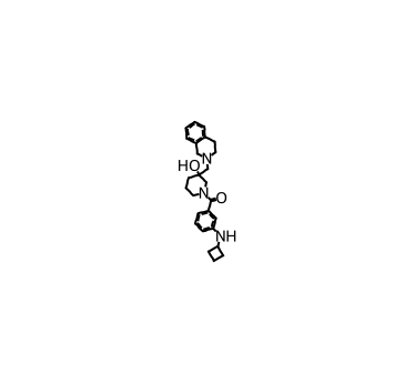 O=C(c1cccc(NC2CCC2)c1)N1CCCC(O)(CN2CCc3ccccc3C2)C1